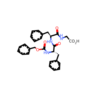 O=C(O)CNC(=O)[C@H](Cc1ccccc1)NC(=O)[C@H](Cc1ccccc1)NC(=O)OCc1ccccc1